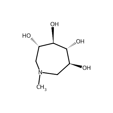 CN1C[C@H](O)[C@@H](O)[C@H](O)[C@@H](O)C1